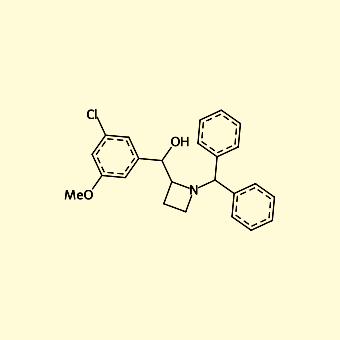 COc1cc(Cl)cc(C(O)C2CCN2C(c2ccccc2)c2ccccc2)c1